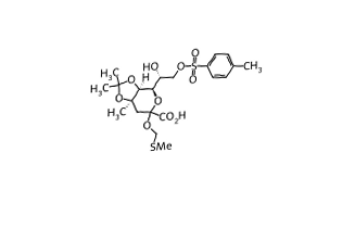 CSCOC1(C(=O)O)C[C@@]2(C)OC(C)(C)O[C@H]2[C@@H]([C@H](O)COS(=O)(=O)c2ccc(C)cc2)O1